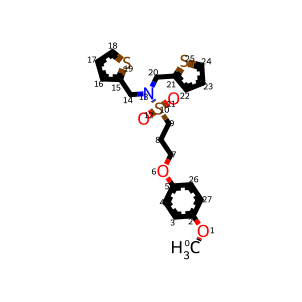 COc1ccc(OCCCS(=O)(=O)N(Cc2cccs2)Cc2cccs2)cc1